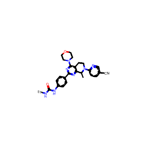 CCNC(=O)Nc1ccc(-c2nc3c(c(N4CCOCC4)n2)CCN(c2ccc(C#N)cn2)C3C)cc1